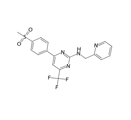 CS(=O)(=O)c1ccc(-c2cc(C(F)(F)F)nc(NCc3ccccn3)n2)cc1